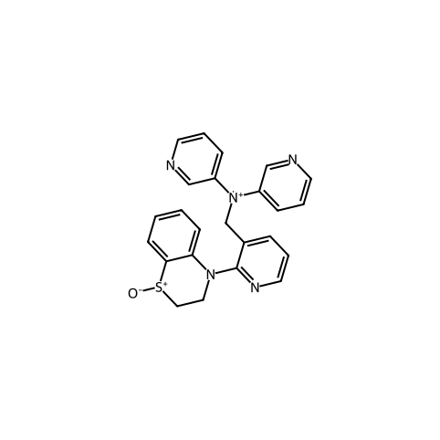 [O-][S+]1CCN(c2ncccc2C[N+](c2cccnc2)c2cccnc2)c2ccccc21